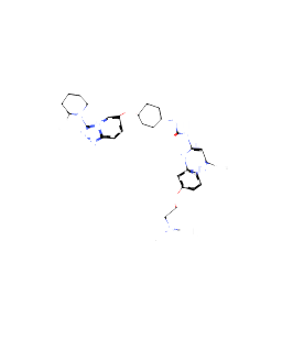 C[C@H]1CCCCN1c1nnc2ccc(O[C@H]3CC[C@H](NC(=O)N/C(=C/C(=N)C(C)(C)C)Nc4cccc(OCCN(C)C)c4)CC3)cn12